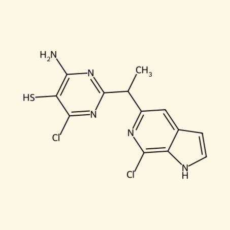 CC(c1cc2cc[nH]c2c(Cl)n1)c1nc(N)c(S)c(Cl)n1